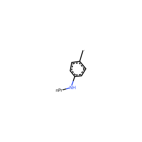 [CH2]c1ccc(NCCC)cc1